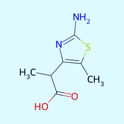 Cc1sc(N)nc1C(C)C(=O)O